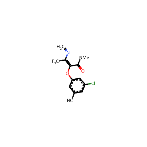 C=N/C(=C(/Oc1cc(Cl)cc(C#N)c1)C(=O)NC)C(F)(F)F